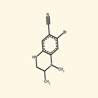 CC1CNc2cc(C#N)c(Br)cc2N1C